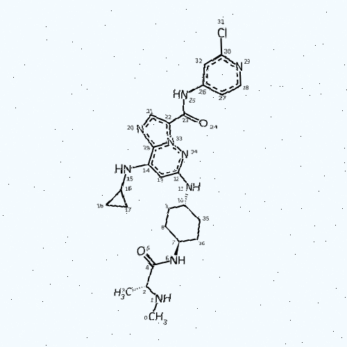 CN[C@H](C)C(=O)N[C@H]1CC[C@H](Nc2cc(NC3CC3)c3ncc(C(=O)Nc4ccnc(Cl)c4)n3n2)CC1